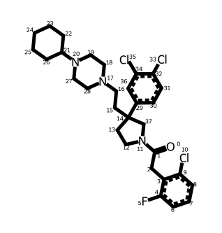 O=C(Cc1c(F)cccc1Cl)N1CCC(CCN2CCN(C3CCCCC3)CC2)(c2ccc(Cl)c(Cl)c2)C1